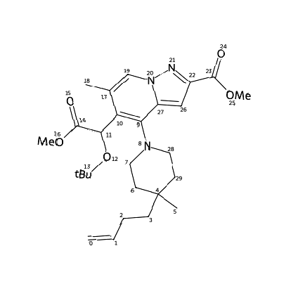 C=CCCC1(C)CCN(c2c(C(OC(C)(C)C)C(=O)OC)c(C)cn3nc(C(=O)OC)cc23)CC1